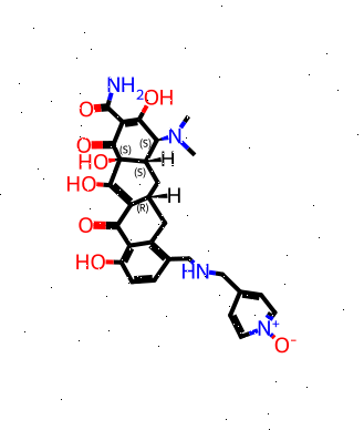 CN(C)[C@@H]1C(O)=C(C(N)=O)C(=O)[C@@]2(O)C(O)=C3C(=O)c4c(O)ccc(CNCc5cc[n+]([O-])cc5)c4C[C@H]3C[C@@H]12